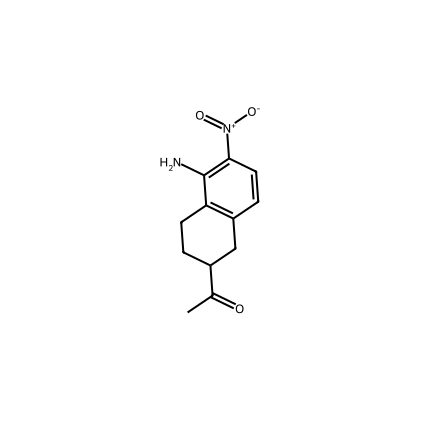 CC(=O)C1CCc2c(ccc([N+](=O)[O-])c2N)C1